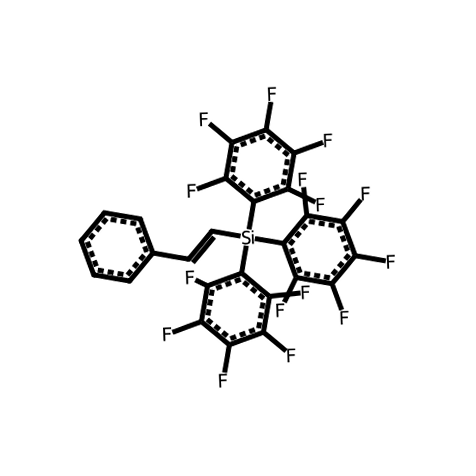 Fc1c(F)c(F)c([Si](/C=C/c2ccccc2)(c2c(F)c(F)c(F)c(F)c2F)c2c(F)c(F)c(F)c(F)c2F)c(F)c1F